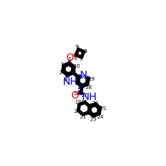 Nc1ccc(OC2CCC2)cc1-c1cc(C(=O)N[C@H]2CCCc3ccccc32)ccn1